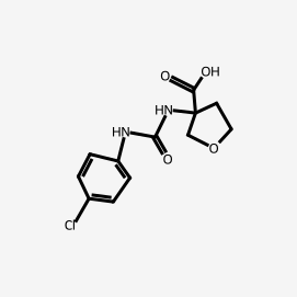 O=C(Nc1ccc(Cl)cc1)NC1(C(=O)O)CCOC1